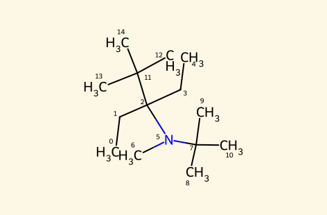 CCC(CC)(N(C)C(C)(C)C)C(C)(C)C